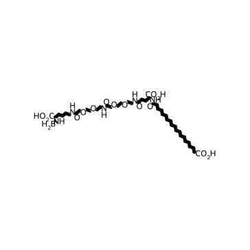 BN[C@@H](CCCCNC(=O)COCCOCCNC(=O)COCCOCCNC(=O)CC[C@H](NC(=O)CCCCCCCCCCCCCCCCCCC(=O)O)C(=O)O)C(=O)O